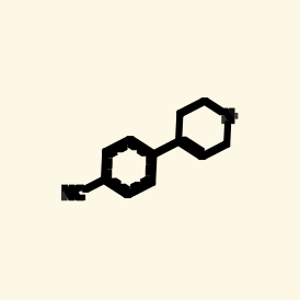 N#Cc1ccc(C2=CC[N]CC2)cc1